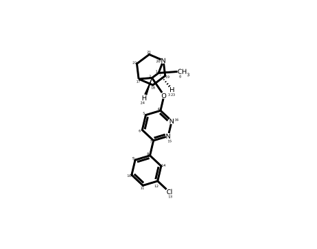 C[C@H]1[C@H](Oc2ccc(-c3cccc(Cl)c3)nn2)C2CCN1CC2